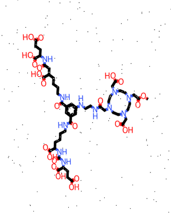 COC(=O)CN1CCN(CC(=O)O)CCN(CC(=O)NCCNc2cc(C(=O)NCCCCC(CC(=O)NC(CCC(=O)O)C(=O)O)C(=O)O)cc(C(=O)NCCCCC(NC(=O)NC(CCC(=O)O)C(=O)O)C(=O)O)c2)CCN(CC(=O)O)CC1